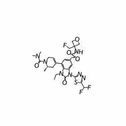 CCn1c(=O)n(-c2nnc(C(F)F)s2)c2cc(S(=O)(=O)NC3(CF)COC3)cc(C3=CCN(C(=O)N(C)C)[C@H](C)C3)c21